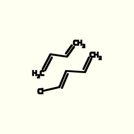 C=CC=C.C=CC=CCl